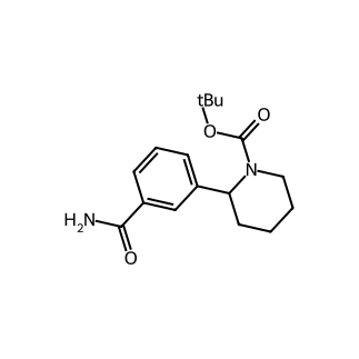 CC(C)(C)OC(=O)N1CCCCC1c1cccc(C(N)=O)c1